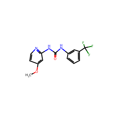 COc1ccnc(NC(=O)Nc2cccc(C(F)(F)F)c2)c1